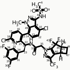 Cn1nc(NS(C)(=O)=O)c2c(Cl)ccc(-c3ccc(Cl)nc3[C@H](Cc3cc(F)cc(F)c3)NC(=O)Cn3nc(C(F)(F)F)c4c3C(F)(F)[C@@H]3CC[C@H]43)c21